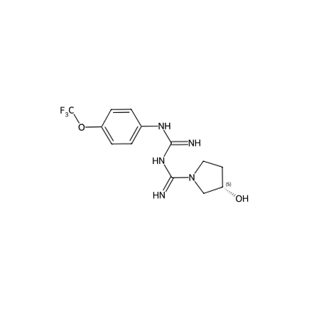 N=C(NC(=N)N1CC[C@H](O)C1)Nc1ccc(OC(F)(F)F)cc1